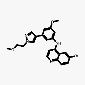 COCCn1cc(-c2cc(Nc3ccnc4ccc(Br)cc34)cc(OC)c2)cn1